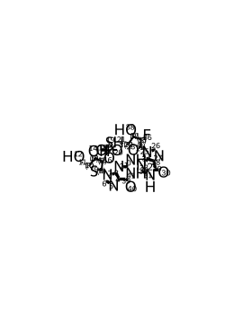 Nc1nc2c(ncn2[C@@H]2S[C@H](CO)[C@@H](O)[C@H]2OP(=O)(S)OC[C@H]2O[C@@H](n3cnc4c(=O)[nH]cnc43)[C@@H](F)[C@@H]2O)c(=O)[nH]1